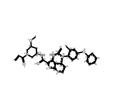 C=CC(=O)N1CC(OC)C[C@@H](NC(=O)c2sc3nccc4c3c2[nH]c(=C)n4-c2ccc(Oc3ccccc3)cc2C)C1